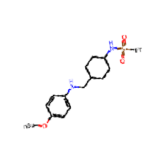 CCCCOc1ccc(NCC2CCC(NS(=O)(=O)C(C)C)CC2)cc1